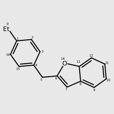 CCc1ccc(Cc2cc3ccccc3o2)cc1